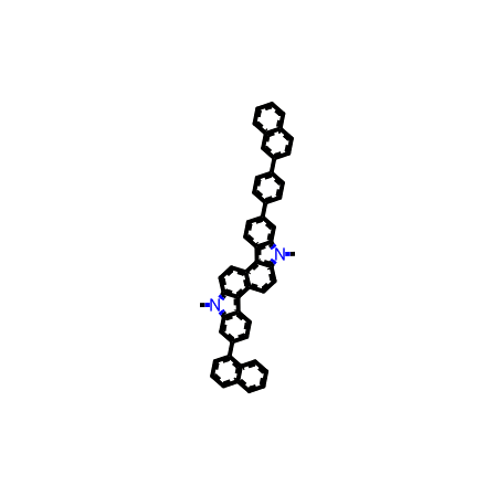 Cn1c2cc(-c3ccc(-c4ccc5ccccc5c4)cc3)ccc2c2c3ccc4c(c3ccc21)c1ccc(-c2cccc3ccccc23)cc1n4C